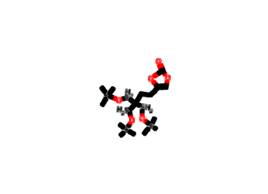 C[Si](C)(C)O[SiH2]C(CCc1coc(=O)o1)([SiH2]O[Si](C)(C)C)[SiH2]O[Si](C)(C)C